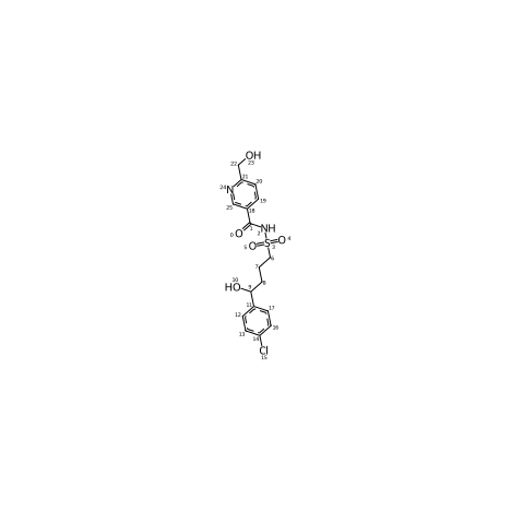 O=C(NS(=O)(=O)CCCC(O)c1ccc(Cl)cc1)c1ccc(CO)nc1